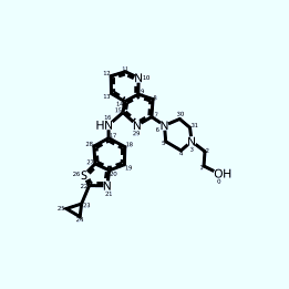 OCCN1CCN(c2cc3ncccc3c(Nc3ccc4nc(C5CC5)sc4c3)n2)CC1